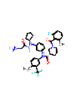 Cc1ccc(NC(=O)[C@H]2CCCN(C(=O)c3c(C)cccc3F)[C@H]2c2ccc(N(NC(=O)CN)C3CCCC3)cc2)cc1C(F)(F)F